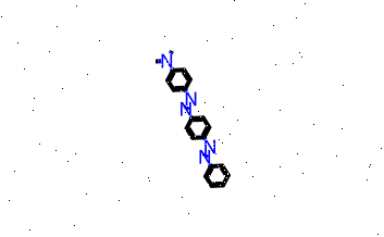 CN(C)c1ccc(N=Nc2ccc(/N=N/c3ccccc3)cc2)cc1